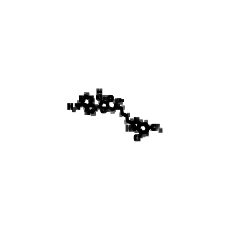 CC(C)N(CCCCc1nc2cc(C(F)(F)F)cc(Cl)c2[nH]1)C[C@H]1O[C@@H](n2cnc3c(N)ncnc32)[C@H](O)[C@@H]1O